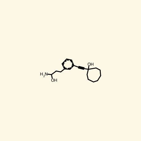 NC(O)CCc1cccc(C#CC2(O)CCCCCCC2)c1